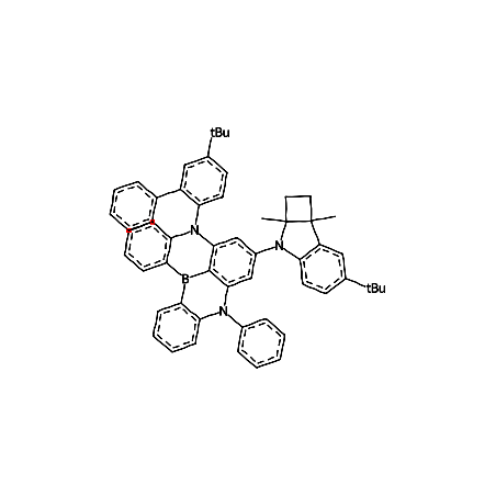 CC(C)(C)c1ccc(N2c3ccccc3B3c4ccccc4N(c4ccccc4)c4cc(N5c6ccc(C(C)(C)C)cc6C6(C)CCC56C)cc2c43)c(-c2ccccc2)c1